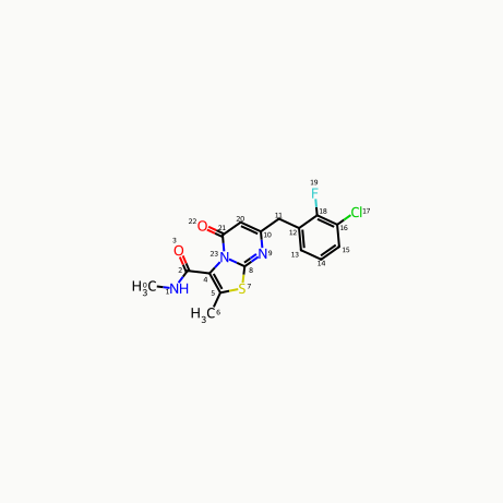 CNC(=O)c1c(C)sc2nc(Cc3cccc(Cl)c3F)cc(=O)n12